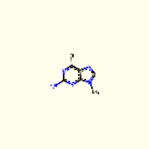 Cc1nc(N)nc2c1ncn2C